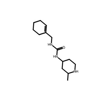 CC1CC(NC(=O)NCC2=CCCCC2)CCN1